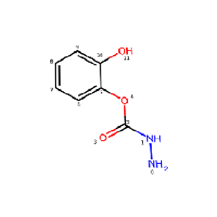 NNC(=O)Oc1ccccc1O